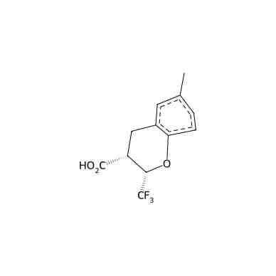 Cc1ccc2c(c1)C[C@@H](C(=O)O)[C@@H](C(F)(F)F)O2